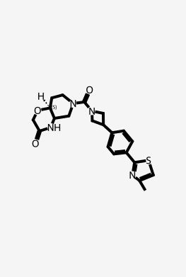 Cc1csc(-c2ccc(C3CN(C(=O)N4CC[C@@H]5OCC(=O)NC5C4)C3)cc2)n1